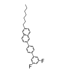 CCCCCCCc1ccc2cc(-c3ccc(-c4cc(F)cc(F)c4)cc3)ccc2c1